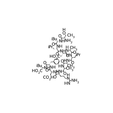 CC[C@H](C)[C@H](NC(=O)[C@H](Cc1ccccc1)NC(=O)[C@H](CC(=O)O)NC(=O)[C@H](CCCNC(=N)N)NC(=O)[C@H](C)NC(=O)[C@H](C)NC(=O)[C@H](CC(C)C)NC(=O)[C@H](C)NC(=O)[C@H](CC(=O)O)NC(=O)[C@H](CC(C)C)NC(=O)[C@@H](NC(=O)[C@@H](N)[C@@H](C)O)[C@@H](C)CC)C(=O)O